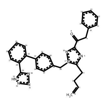 C=CCCc1nc(C(=O)Cc2ccccc2)nn1Cc1ccc(-c2ccccc2-c2nnn[nH]2)cc1